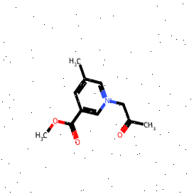 COC(=O)c1cc(C)c[n+](CC(C)=O)c1